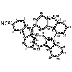 N#Cc1ccc2c(c1)c1ccccc1n2-c1ccc2sc3cccc(-n4c5ccccc5c5ccccc54)c3c2c1